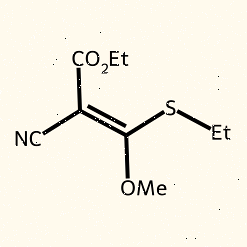 CCOC(=O)C(C#N)=C(OC)SCC